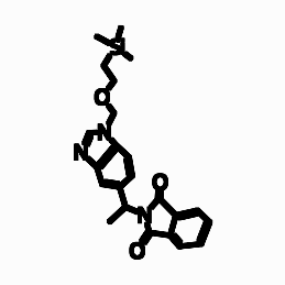 CC(c1ccc2c(c1)ncn2COCC[Si](C)(C)C)N1C(=O)c2ccccc2C1=O